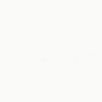 C=C(CN1CCC(OC(=O)Nc2ccccc2-c2ccccc2)CC1)CN1CCC(OC(=O)Nc2ccccc2-c2ccccc2)CC1